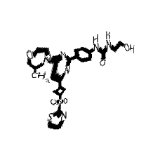 C[C@H]1COCCN1c1cc(C2CC(S(=O)(=O)c3nccs3)C2)nc(-c2ccc(NC(=O)NCCO)cc2)n1